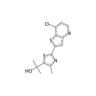 Cc1nc(-c2cc3nccc(Cl)c3s2)sc1C(C)(C)O